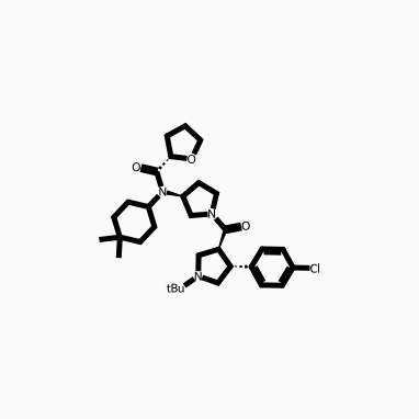 CC1(C)CCC(N(C(=O)[C@@H]2CCCO2)[C@H]2CCN(C(=O)[C@@H]3CN(C(C)(C)C)C[C@H]3c3ccc(Cl)cc3)C2)CC1